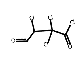 O=CC(Cl)C(Cl)(Cl)C(=O)Cl